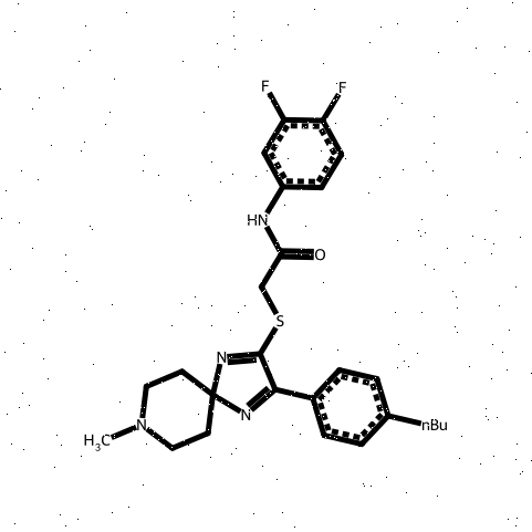 CCCCc1ccc(C2=NC3(CCN(C)CC3)N=C2SCC(=O)Nc2ccc(F)c(F)c2)cc1